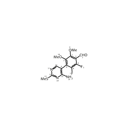 COc1c(C=O)c(F)c(F)c(-c2cnc(SC)nc2N)c1OC